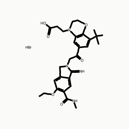 Br.CCOc1cc2c(cc1C(=O)NC)C(=N)N(CC(=O)c1cc3c(c(C(C)(C)C)c1)OCCN3CCC(=O)O)C2